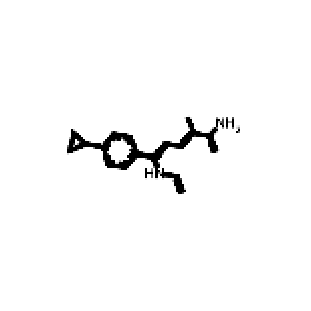 C=CN/C(=C\C=C(/C)C(=C)N)c1ccc(C2CC2)cc1